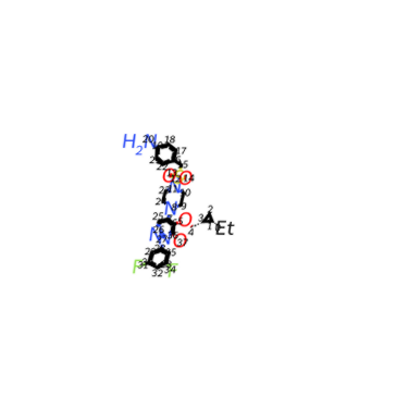 CC[C@H]1C[C@H]1COc1c(N2CCN(S(=O)(=O)Cc3ccc(N)cc3)CC2)cnn(-c2cc(F)cc(F)c2)c1=O